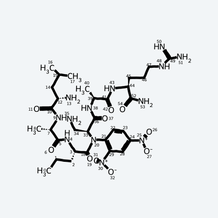 CCC[C@H](NC(=O)[C@H](C)NC(=O)[C@@H](N)CC(C)C)C(=O)N(c1ccc([N+](=O)[O-])cc1[N+](=O)[O-])[C@@H](CN)C(=O)N[C@@H](C)C(=O)N[C@@H](CCCNC(=N)N)C(N)=O